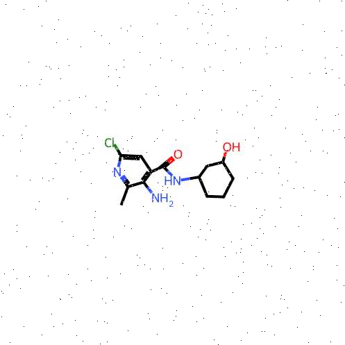 Cc1nc(Cl)cc(C(=O)NC2CCCC(O)C2)c1N